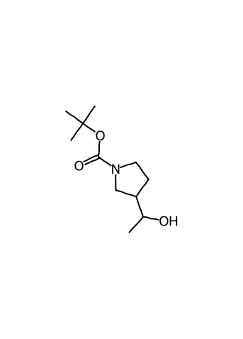 CC(O)C1CCN(C(=O)OC(C)(C)C)C1